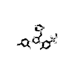 COS(=O)(=O)c1ccc(C)c([C@@H]2C[C@H](c3ccc(F)cc3F)OC2Cn2cncn2)c1